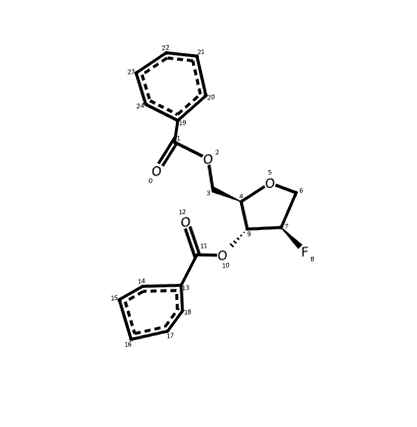 O=C(OC[C@H]1O[CH][C@@H](F)[C@@H]1OC(=O)c1ccccc1)c1ccccc1